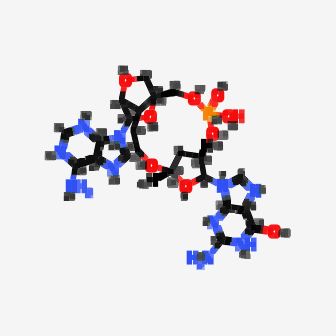 Nc1nc2c(ncn2C2O[C@H]3C[C@@H]2OP(=O)(O)OC[C@@]24COC(C(n5cnc6c(N)ncnc65)O2)C4CCO3)c(=O)[nH]1